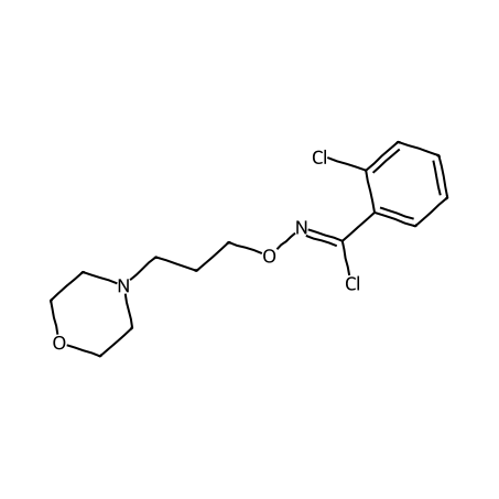 Cl/C(=N\OCCCN1CCOCC1)c1ccccc1Cl